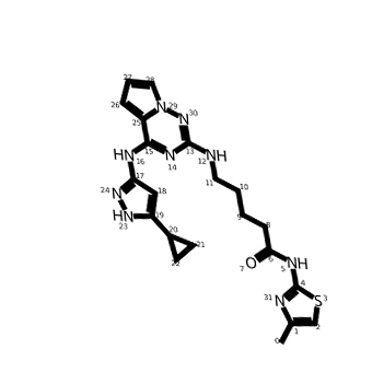 Cc1csc(NC(=O)CCCCNc2nc(Nc3cc(C4CC4)[nH]n3)c3cccn3n2)n1